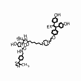 CCC(=C(c1ccc(O)cc1)c1ccc(OCCN2CCN(CCCCCCC(=O)NC(C(=O)N3C[C@H](O)C[C@H]3C(=O)NCc3ccc(-c4scnc4C)cc3)C(C)(C)C)CC2)cc1)c1ccc(O)cc1